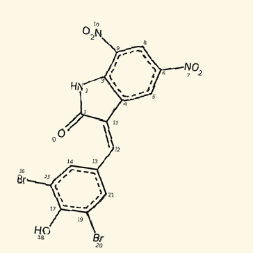 O=C1Nc2c(cc([N+](=O)[O-])cc2[N+](=O)[O-])C1=Cc1cc(Br)c(O)c(Br)c1